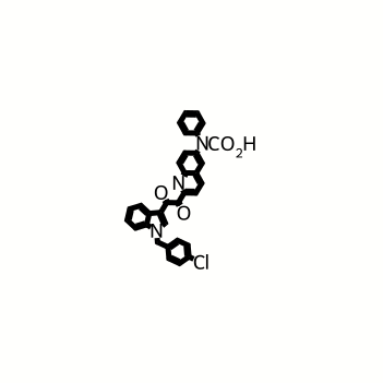 O=C(C(=O)c1cn(Cc2ccc(Cl)cc2)c2ccccc12)c1ccc2cc(N(C(=O)O)c3ccccc3)ccc2n1